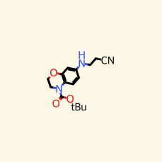 CC(C)(C)OC(=O)N1CCOc2cc(NCCC#N)ccc21